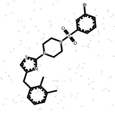 Cc1cccc(Cc2csc(N3CCN(S(=O)(=O)c4cccc(Br)c4)CC3)n2)c1C